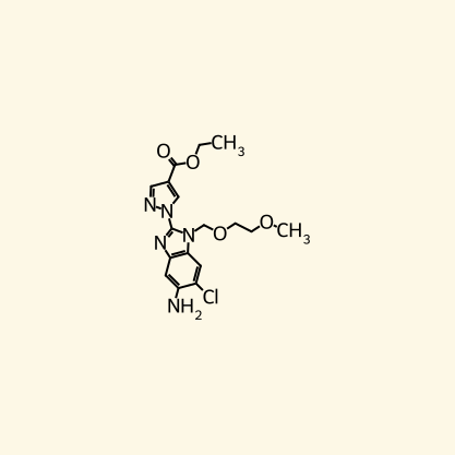 CCOC(=O)c1cnn(-c2nc3cc(N)c(Cl)cc3n2COCCOC)c1